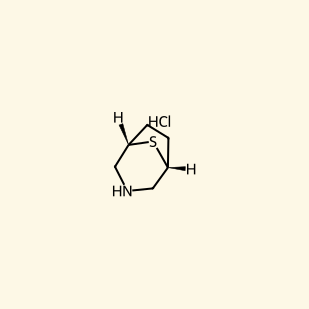 C1C[C@H]2CNC[C@@H]1S2.Cl